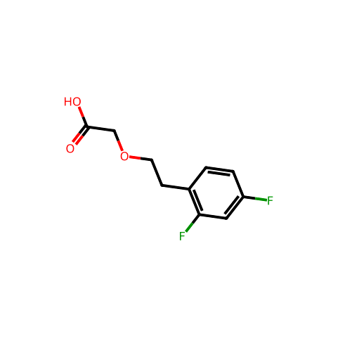 O=C(O)COCCc1ccc(F)cc1F